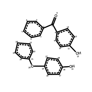 O=C(c1ccccc1)c1ccc(O)cc1.Oc1ccc(Oc2ccccc2)cc1